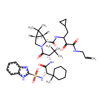 C=CCNC(=O)C(=O)C(CC1CC1)NC(=O)[C@@H]1[C@@H]2[C@H](CN1C(=O)[C@@H](NC(=O)[C@@H](NS(=O)(=O)c1nc3ccccc3[nH]1)C1(C)CCCCC1)C(C)(C)C)C2(C)C